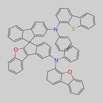 C1=c2c(oc3ccccc23)=C(N(c2ccccc2)c2ccc3c(c2)-c2c(oc4ccccc24)C32c3ccccc3-c3ccc(N(c4ccccc4)c4cccc5c4sc4ccccc45)cc32)CC1